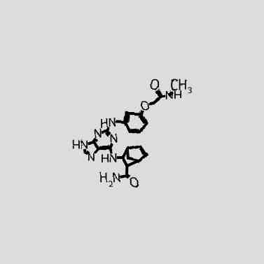 CNC(=O)COc1cccc(Nc2nc(NC3C4C=CC(C4)C3C(N)=O)c3nc[nH]c3n2)c1